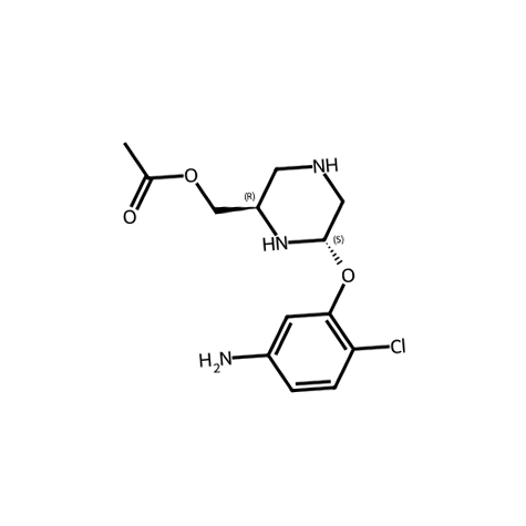 CC(=O)OC[C@H]1CNC[C@H](Oc2cc(N)ccc2Cl)N1